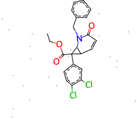 CCOC(=O)C1(c2ccc(Cl)c(Cl)c2)C2C=CC(=O)N(Cc3ccccc3)C21